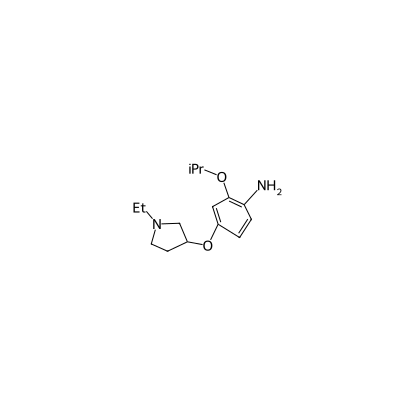 CCN1CCC(Oc2ccc(N)c(OC(C)C)c2)C1